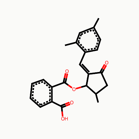 Cc1ccc(C=C2C(=O)CC(C)C2OC(=O)c2ccccc2C(=O)O)c(C)c1